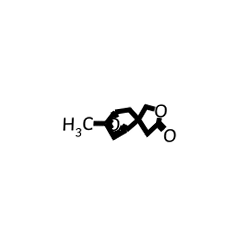 Cc1cc2oc1CC21COC(=O)C1